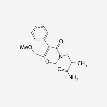 COCC1=C(c2ccccc2)C(=O)N(CC(C)C(N)=O)CO1